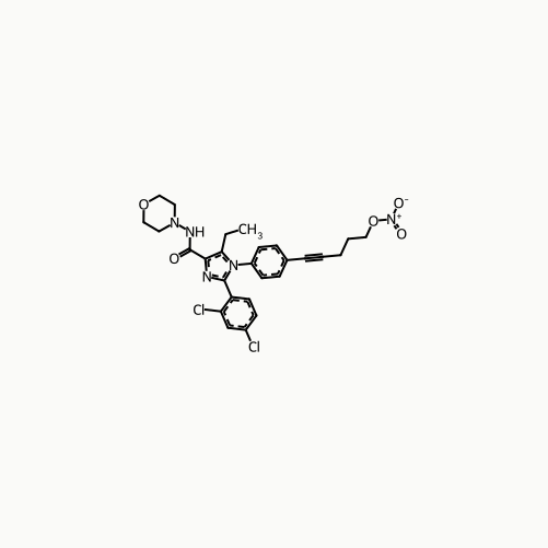 CCc1c(C(=O)NN2CCOCC2)nc(-c2ccc(Cl)cc2Cl)n1-c1ccc(C#CCCCO[N+](=O)[O-])cc1